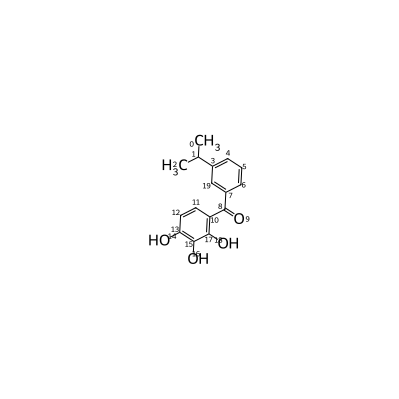 CC(C)c1cccc(C(=O)c2ccc(O)c(O)c2O)c1